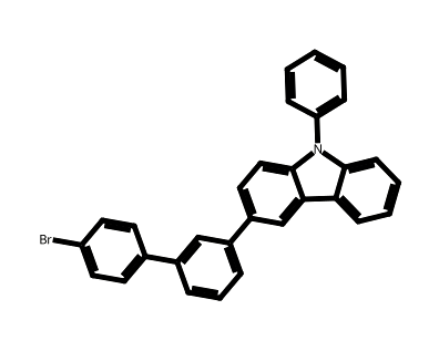 Brc1ccc(-c2cccc(-c3ccc4c(c3)c3ccccc3n4-c3ccccc3)c2)cc1